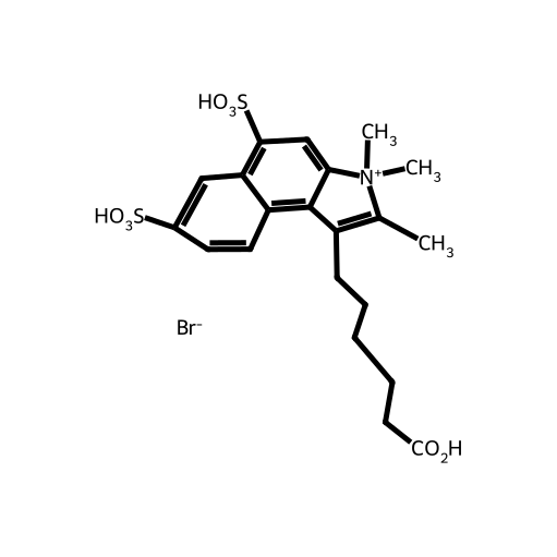 CC1=C(CCCCCC(=O)O)c2c(cc(S(=O)(=O)O)c3cc(S(=O)(=O)O)ccc23)[N+]1(C)C.[Br-]